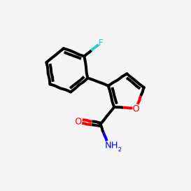 NC(=O)c1occc1-c1ccccc1F